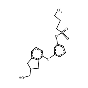 O=S(=O)(CCCC(F)(F)F)Oc1cccc(Oc2cccc3c2CC(CO)C3)c1